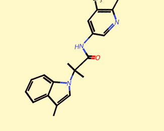 Cc1cn(C(C)(C)C(=O)Nc2cnc(C#N)c(C(F)(F)F)c2)c2ccccc12